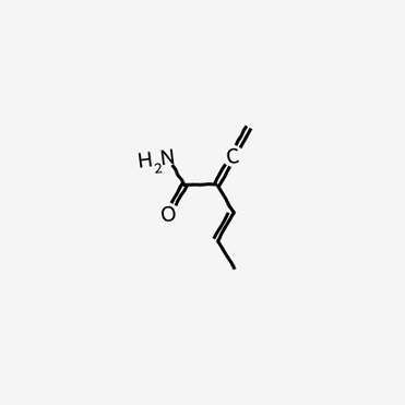 C=C=C(/C=C/C)C(N)=O